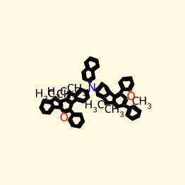 Cc1ccccc1-c1cc2c(c3c1oc1ccccc13)-c1ccc(N(c3ccc4c(c3)C(C)(C)c3c5c(c6oc7ccccc7c6c3-4)-c3ccccc3C5(C)C)c3ccc4ccccc4c3)cc1C2(C)C